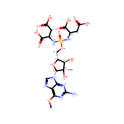 COc1nc(N)nc2c1ncn2[C@@H]1O[C@H](COP(=O)(NC(CC(=O)O)C(=O)O)NC(CC(=O)O)C(=O)O)[C@@H](O)[C@@]1(C)O